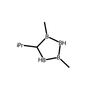 CB1BB(C)C(C(C)C)B1